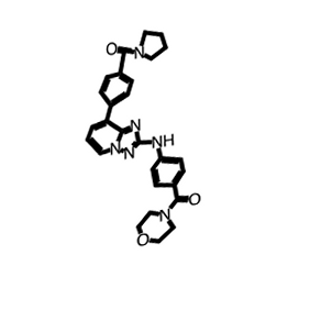 O=C(c1ccc(-c2cccn3nc(Nc4ccc(C(=O)N5CCOCC5)cc4)nc23)cc1)N1CCCC1